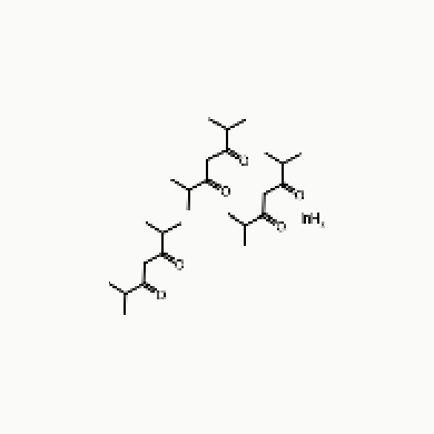 CC(C)C(=O)CC(=O)C(C)C.CC(C)C(=O)CC(=O)C(C)C.CC(C)C(=O)CC(=O)C(C)C.[InH3]